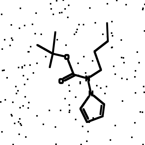 CCCCN(C(=O)OC(C)(C)C)n1cccc1